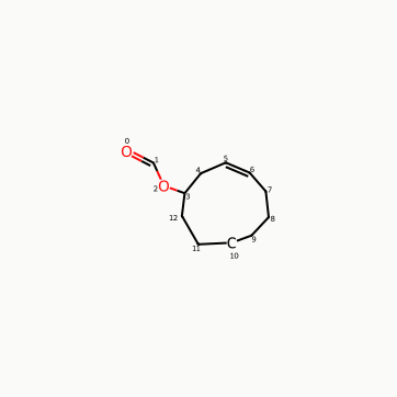 O=COC1CC=CCCCCCC1